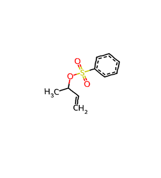 C=CC(C)OS(=O)(=O)c1ccccc1